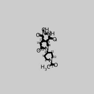 CC(=O)N1CCC(n2cc3c(=O)[nH]n(C)c(=O)c3cc2=O)CC1